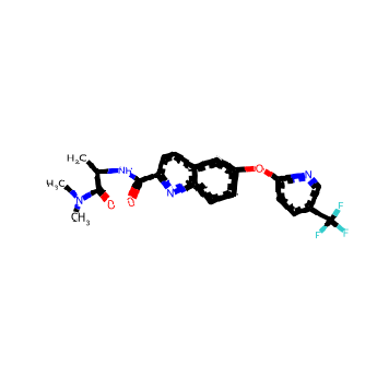 CC(NC(=O)c1ccc2cc(Oc3ccc(C(F)(F)F)cn3)ccc2n1)C(=O)N(C)C